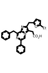 CCc1ccc(Cc2nc3c(Cc4ccccc4)nc(-c4ccccc4)cn3c2CC(=O)O)o1